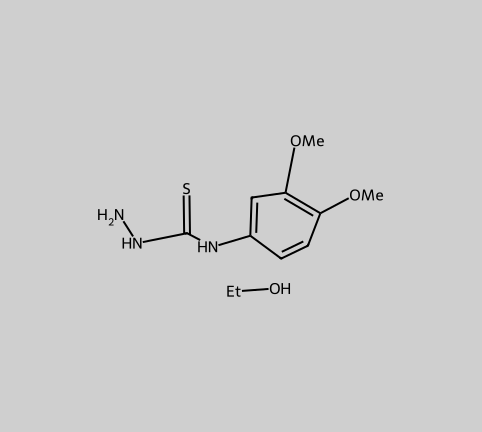 CCO.COc1ccc(NC(=S)NN)cc1OC